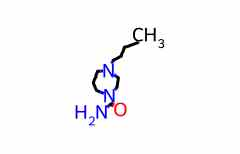 CCCCCN1CCCN(C(N)=O)CC1